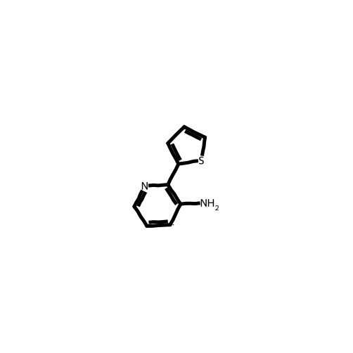 Nc1[c]ccnc1-c1cccs1